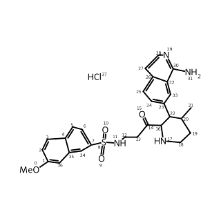 COc1ccc2ccc(S(=O)(=O)NCCC(=O)C3NCCC(C)C3c3ccc4ccnc(N)c4c3)cc2c1.Cl